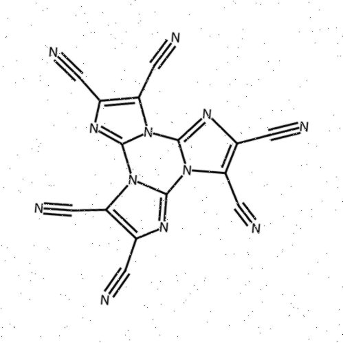 N#Cc1nc2n(c1C#N)c1nc(C#N)c(C#N)n1c1nc(C#N)c(C#N)n21